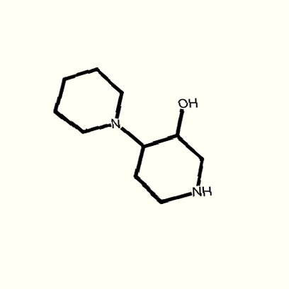 OC1CNCCC1N1CCCCC1